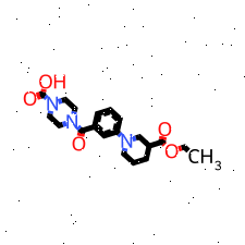 CCOC(=O)C1CCCN(c2cccc(C(=O)N3CCN(C(=O)O)CC3)c2)C1